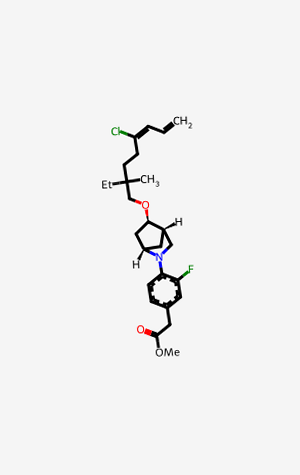 C=C/C=C(/Cl)CCC(C)(CC)CO[C@@H]1C[C@@H]2C[C@H]1CN2c1ccc(CC(=O)OC)cc1F